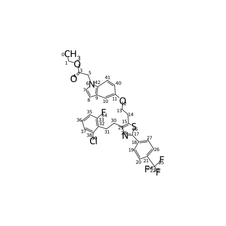 CCOC(=O)Cn1ccc2cc(OCCc3sc(-c4ccc(C(F)(F)F)cc4)nc3CCc3c(F)cccc3Cl)ccc21